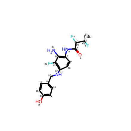 CCCC[C@H](F)[C@H](F)C(=O)Nc1ccc(NCc2ccc(O)cc2)c(F)c1N